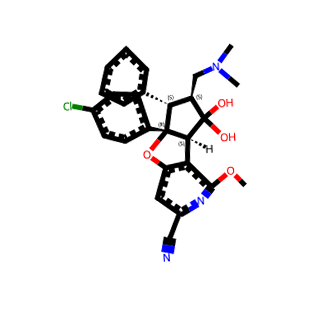 COc1nc(C#N)cc2c1[C@@H]1C(O)(O)[C@H](CN(C)C)[C@@H](c3ccccc3)[C@@]1(c1ccc(Cl)cc1)O2